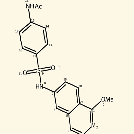 COc1nccc2cc(NS(=O)(=O)c3ccc(NC(C)=O)cc3)ccc12